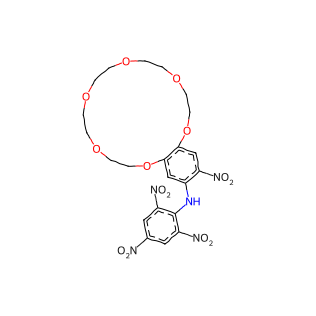 O=[N+]([O-])c1cc([N+](=O)[O-])c(Nc2cc3c(cc2[N+](=O)[O-])OCCOCCOCCOCCOCCO3)c([N+](=O)[O-])c1